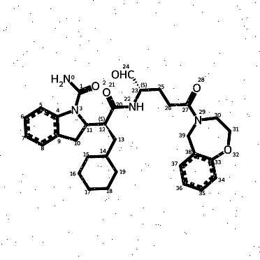 NC(=O)N1c2ccccc2CC1[C@H](CC1CCCCC1)C(=O)N[C@H](C=O)CCC(=O)N1CCOc2ccccc2C1